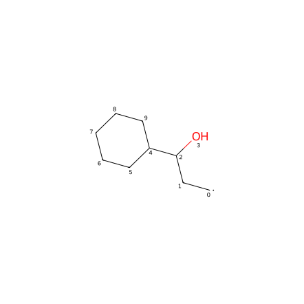 [CH2]CC(O)C1CCCCC1